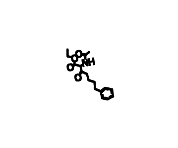 CCOC(=O)C(NC(C)=O)C(=O)CCCCc1ccccc1